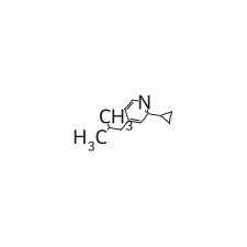 CC(C)Cc1ccnc(C2CC2)c1